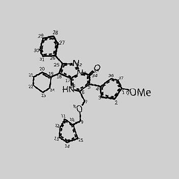 COc1ccc(-c2c(COCc3ccccc3)[nH]c3c(C4=CCCCC4)c(-c4ccccc4)nn3c2=O)cc1